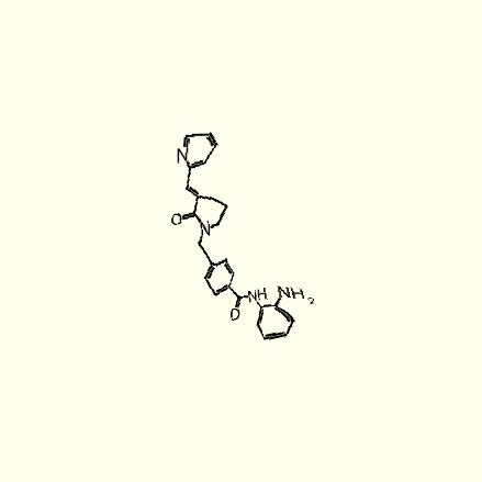 Nc1ccccc1NC(=O)c1ccc(CN2CCCC(=Cc3ccccn3)C2=O)cc1